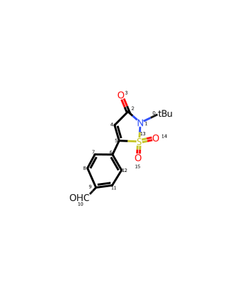 CC(C)(C)N1C(=O)C=C(c2ccc(C=O)cc2)S1(=O)=O